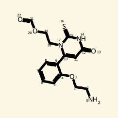 NCCOc1ccccc1-c1cc(=O)[nH]c(=S)n1CCOC=O